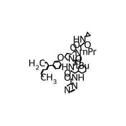 C=C/C(=C\C=C/C)c1cccc(O[C@@H]2C[C@@H](C(=O)N[C@@H](CCC)C(=O)C(=O)NC3CC3)N(C(=O)[C@@H](NC(=O)[C@@H](NC(=O)c3cnccn3)C3CCCCC3)C(C)(C)C)C2)c1